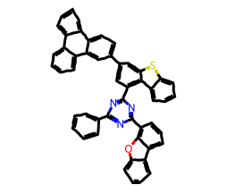 c1ccc(-c2nc(-c3cccc4c3oc3ccccc34)nc(-c3cc(-c4ccc5c6ccccc6c6ccccc6c5c4)cc4sc5ccccc5c34)n2)cc1